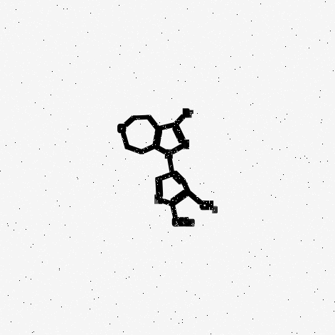 COc1ncc(-n2nc(Br)c3c2CCOCC3)cc1C